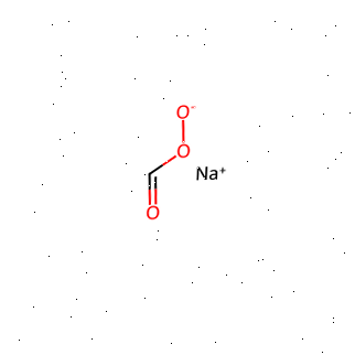 O=CO[O-].[Na+]